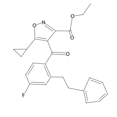 CCOC(=O)c1noc(C2CC2)c1C(=O)c1ccc(F)cc1CCc1ccccc1